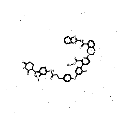 Cc1cc(Oc2ccc(CCC(=O)Nc3ccc4c(C5CCC(=O)NC5=O)nn(C)c4c3)cc2)ccc1-c1ccc(N2CCc3cccc(C(=O)Nc4nc5ccccc5s4)c3C2)nc1C(=O)OC(C)(C)C